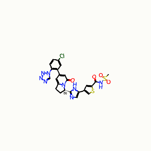 CS(=O)(=O)NC(=O)c1cc(-c2cnc([C@@H]3CCc4cc(-c5cc(Cl)ccc5-n5cnnn5)cc(=O)n43)[nH]2)cs1